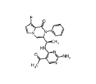 CC(=O)c1cnc(N)nc1N[C@H](C)c1cn2ccc(F)c2c(=O)n1-c1ccccc1